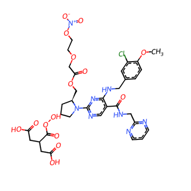 COc1ccc(CNc2nc(N3CCC[C@H]3COC(=O)COCCO[N+](=O)[O-])ncc2C(=O)NCc2ncccn2)cc1Cl.O=C(O)CC(CC(=O)O)C(=O)OO